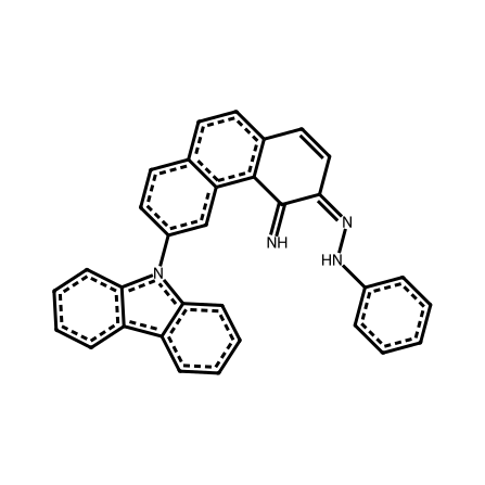 N=C1/C(=N\Nc2ccccc2)C=Cc2ccc3ccc(-n4c5ccccc5c5ccccc54)cc3c21